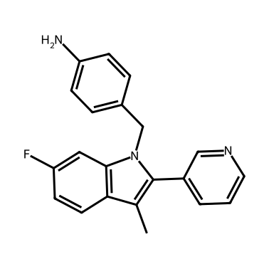 Cc1c(-c2cccnc2)n(Cc2ccc(N)cc2)c2cc(F)ccc12